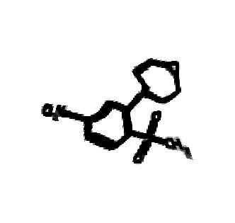 CS(=O)(=O)c1ccc([N+](=O)[O-])cc1N1CCOCC1